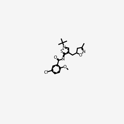 COc1ccc(Cl)cc1C(=O)N=c1sn(C(C)(C)C)cc1CC1CC(C)=NO1